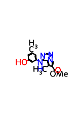 COC(=O)c1cn2ncnc(Nc3cc(C)cc(O)c3)c2c1C